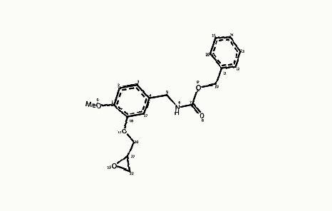 COc1ccc(CNC(=O)OCc2ccccc2)cc1OCC1CO1